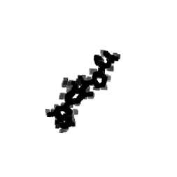 Cc1cc(-c2cc(C)c3ncnn3c2)cc2[nH]nc(C3CCCN(C(=O)CN(C)C)C3)c12